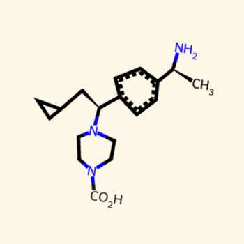 C[C@H](N)c1ccc([C@H](CC2CC2)N2CCN(C(=O)O)CC2)cc1